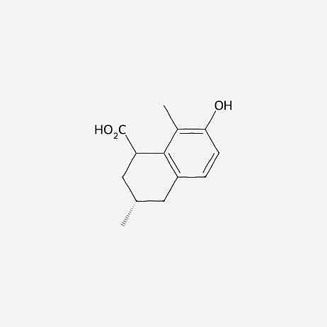 Cc1c(O)ccc2c1C(C(=O)O)C[C@@H](C)C2